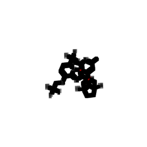 Cc1cc(N2C[C@H]3CC[C@@H](C2)C3Nc2nc3c(OCC(F)(F)F)ccc(C(F)(F)F)n3n2)cc(Cl)n1